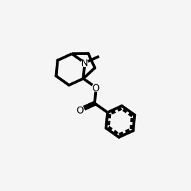 CN1C2CCCC1(OC(=O)c1ccccc1)CC2